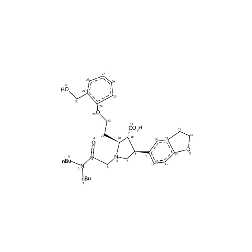 CCCCN(CCCC)C(=O)CN1C[C@H](c2ccc3c(c2)CCO3)[C@@H](C(=O)O)[C@@H]1CCOc1ccccc1CO